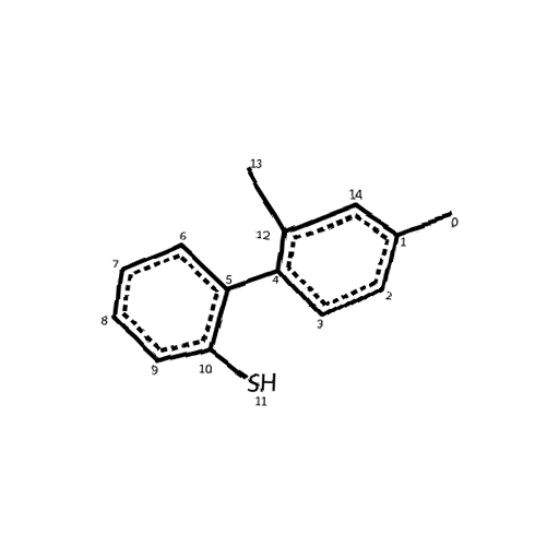 Cc1ccc(-c2ccccc2S)c(C)c1